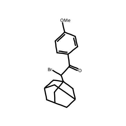 COc1ccc(C(=O)C(Br)C23CC4CC(CC(C4)C2)C3)cc1